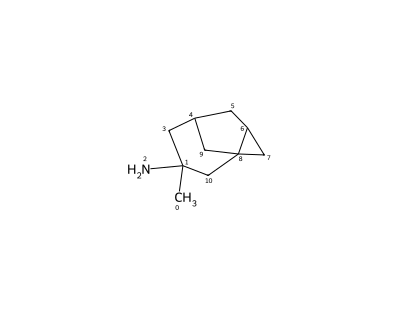 CC1(N)CC2CC3CC3(C2)C1